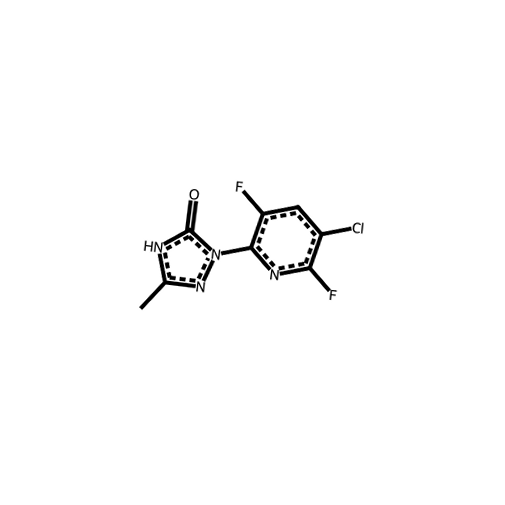 Cc1nn(-c2nc(F)c(Cl)cc2F)c(=O)[nH]1